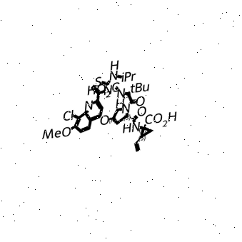 C=C[C@@H]1C[C@]1(NC(=O)[C@@H]1C[C@@H](Oc2cc(-c3csc(NC(C)C)n3)nc3c(Cl)c(OC)ccc23)CN1C(=O)[C@@H](NC(=O)O)C(C)(C)C)C(=O)O